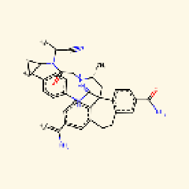 C=C(N)c1ccc2c(c1)CCc1cc(C(N)=O)ccc1C2(C[C@@H](C)NCC(=O)N(C(C)C#N)C1CC1)C(=N)Nc1ccc(C)cc1